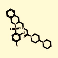 O=C(COCC1Cc2ccccc2CN1S(=O)(=O)c1ccc(Cl)cc1Cl)N1CCC(N2CCCCC2)CC1